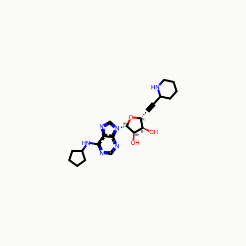 O[C@@H]1[C@H](O)[C@@H](C#CC2CCCCN2)O[C@H]1n1cnc2c(NC3CCCC3)ncnc21